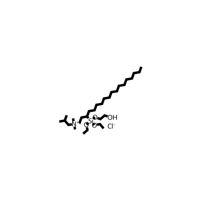 CCCCCCCCCCCCCCCC(CC[N+](C)(C)CC(C)C)[Si](OCC)(OCC)OCCO.[Cl-]